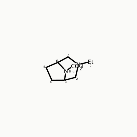 CCN1CC2CCC(C1)N2C(=O)O